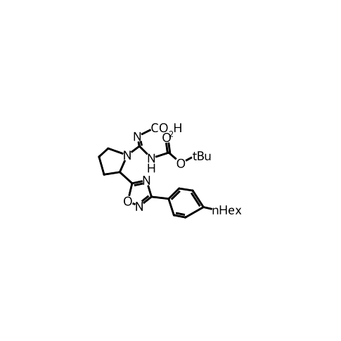 CCCCCCc1ccc(-c2noc(C3CCCN3/C(=N/C(=O)O)NC(=O)OC(C)(C)C)n2)cc1